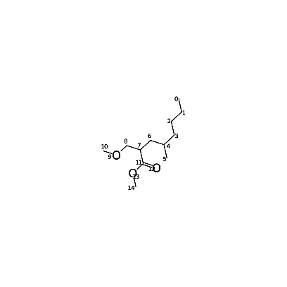 CCCCC(C)CC(COC)C(=O)OC